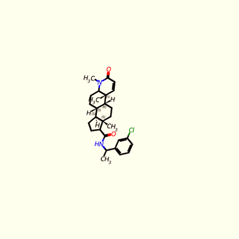 CC(NC(=O)C1CC[C@H]2[C@@H]3CCC4N(C)C(=O)C=C[C@]4(C)[C@@H]3CC[C@]12C)c1cccc(Cl)c1